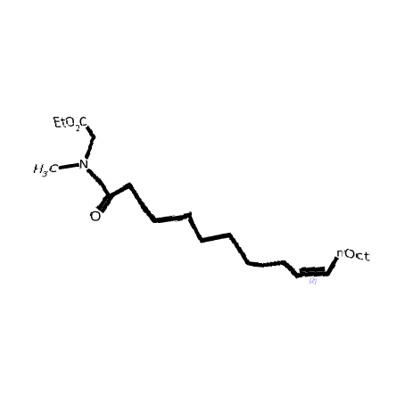 CCCCCCCC/C=C\CCCCCCCC(=O)N(C)CC(=O)OCC